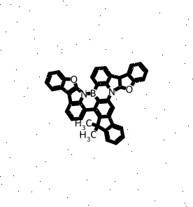 CC1(C)c2ccccc2-c2cc3c4c(c21)-c1cccc2c5c6ccccc6oc5n(c12)B4c1cccc2c1N3C1Oc3ccccc3C21